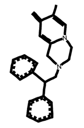 C=C1C=C2CN(CC(c3ccccc3)c3ccccc3)CCN2C=C1C